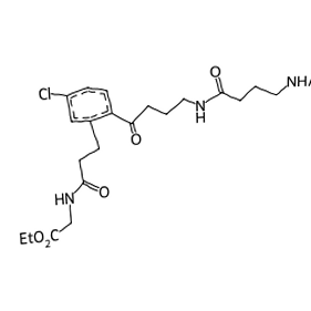 CCOC(=O)CNC(=O)CCc1cc(Cl)ccc1C(=O)CCCNC(=O)CCCNC(C)=O